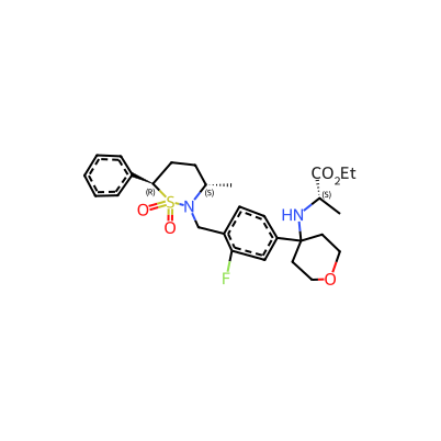 CCOC(=O)[C@H](C)NC1(c2ccc(CN3[C@@H](C)CC[C@H](c4ccccc4)S3(=O)=O)c(F)c2)CCOCC1